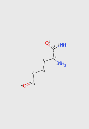 [NH]C(=O)C(N)CCC[C]=O